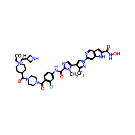 Cn1c(-c2cn(-c3cc4[nH]c(C(=O)NO)cc4cn3)nc2C(F)(F)F)cnc1C(=O)Nc1ccc(C(=O)N2CCN(C(=O)C3CC[N+](CC(=O)O)(CC4CNC4)CC3)CC2)c(Cl)c1